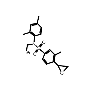 Cc1ccc(N(CC(C)C)S(=O)(=O)c2ccc(C3CO3)c(C)c2)c(C)c1